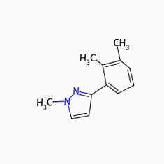 Cc1cccc(-c2ccn(C)n2)c1C